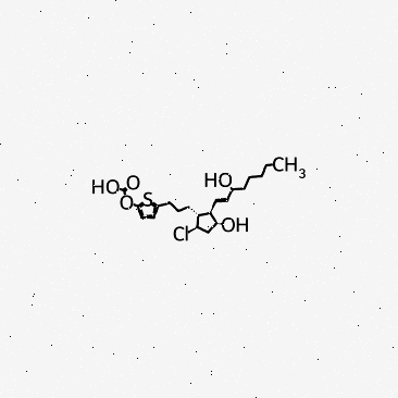 CCCCC[C@@H](O)/C=C/[C@@H]1[C@@H](CCCc2ccc(OC(=O)O)s2)[C@H](Cl)C[C@H]1O